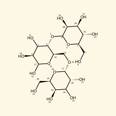 OC[C@H]1OC(O[C@H]2C(O)[C@H](O)C(O)O[C@@H]2CO[C@H]2O[C@H](CO)[C@H](O)C(O)[C@H]2O)[C@@H](O)[C@@H](O)[C@@H]1O